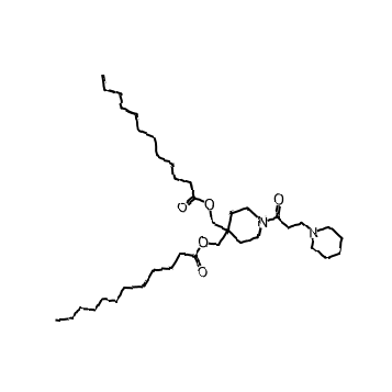 CCCCCCCCCCCC(=O)OCC1(COC(=O)CCCCCCCCCCC)CCN(C(=O)CCN2CCCCC2)CC1